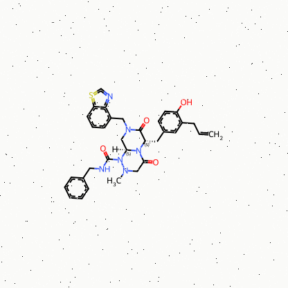 C=CCc1cc(C[C@H]2C(=O)N(Cc3cccc4scnc34)C[C@H]3N2C(=O)CN(C)N3C(=O)NCc2ccccc2)ccc1O